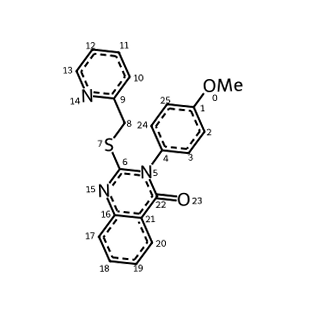 COc1ccc(-n2c(SCc3ccccn3)nc3ccccc3c2=O)cc1